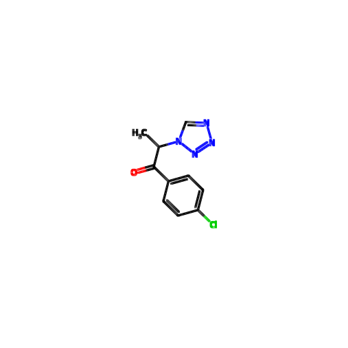 CC(C(=O)c1ccc(Cl)cc1)n1cnnn1